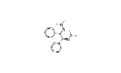 CN(C)N=C(C(=NN(C)C)c1ccccc1)c1ccccc1